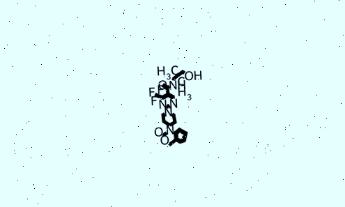 CC(C)(CO)CNC(=O)c1cnc(N2CCC(N3C(=O)OCc4ccccc43)CC2)nc1C(F)(F)F